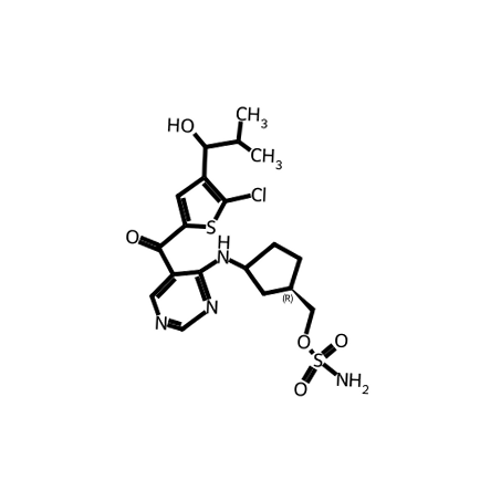 CC(C)C(O)c1cc(C(=O)c2cncnc2NC2CC[C@@H](COS(N)(=O)=O)C2)sc1Cl